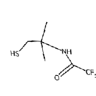 CC(C)(CS)NC(=O)C(F)(F)F